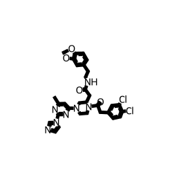 Cc1cc(N2CCN(C(=O)Cc3ccc(Cl)c(Cl)c3)C(CC(=O)NCCc3ccc4c(c3)OCO4)C2)nc(-n2ccnc2)n1